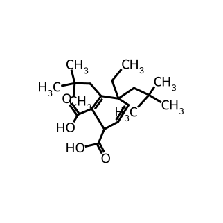 CCC1(CC(C)(C)C)C=CC(C(=O)O)C(C(=O)O)=C1CC(C)(C)C